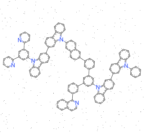 c1ccc(-n2c3ccccc3c3ccc(-c4ccc5c6ccccc6n(-c6cc(-c7cccc(-c8ccc9cc(-n%10c%11ccccc%11c%11ccc(-c%12ccc%13c%14ccccc%14n(-c%14cc(-c%15ccccn%15)cc(-c%15ccccn%15)c%14)c%13c%12)cc%11%10)ccc9c8)c7)cc(-c7cccc(-c8nccc9ccccc89)c7)c6)c5c4)cc32)cc1